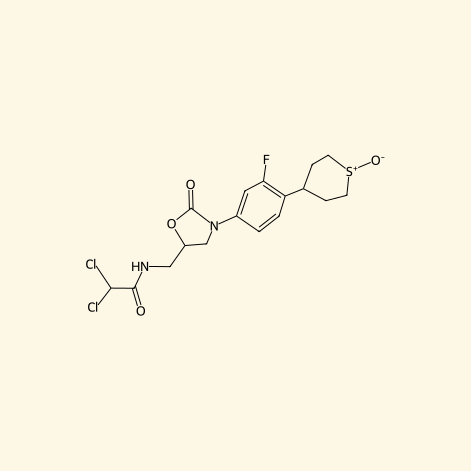 O=C(NCC1CN(c2ccc(C3CC[S+]([O-])CC3)c(F)c2)C(=O)O1)C(Cl)Cl